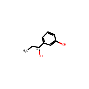 CC[C@H](O)c1cccc(O)c1